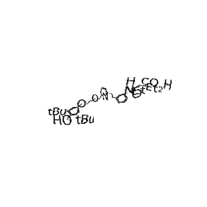 CCC(CC)(CC(=O)Nc1cccc(/C=C/c2cccc(COCCCOc3cc(C(C)(C)C)c(O)c(C(C)(C)C)c3)n2)c1)C(=O)O